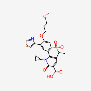 COCCCOc1cc2c(cc1-c1cscn1)-c1c(cc(C(=O)O)c(=O)n1C1CC1)C(C)S2(=O)=O